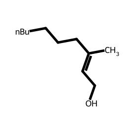 CCCCCCCC(C)=CCO